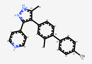 Cc1cc(-c2c(-c3ccncc3)n[nH]c2C)ccc1-c1ccc(C#N)cc1